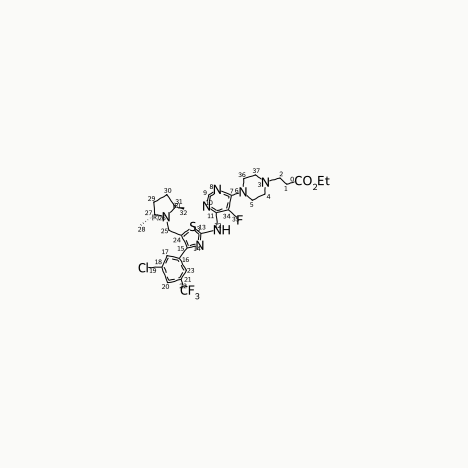 CCOC(=O)CCN1CCN(c2ncnc(Nc3nc(-c4cc(Cl)cc(C(F)(F)F)c4)c(CN4[C@H](C)CC[C@H]4C)s3)c2F)CC1